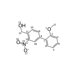 COc1ccccc1-c1ccc(CO)c([N+](=O)[O-])c1